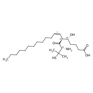 CCCCCCCCCCC/C=C\[C@H](C(=O)[C@H](N)C(C)(C)S)[C@H](O)CCCC(=O)O